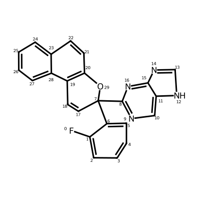 Fc1ccccc1C1(c2ncc3[nH]cnc3n2)C=Cc2c(ccc3ccccc23)O1